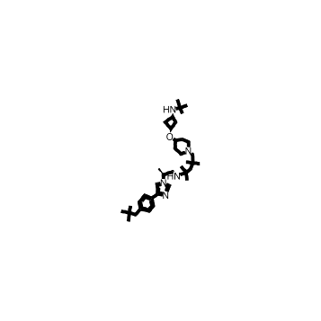 C[C@@H](CNC(C)(C)CC(C)(C)CN1CCC(O[C@H]2C[C@@H](NC(C)(C)C)C2)CC1)n1cnc(-c2ccc(CC(C)(C)C)cc2)c1